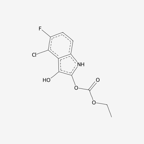 CCOC(=O)Oc1[nH]c2ccc(F)c(Cl)c2c1O